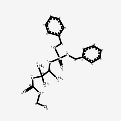 CC(OP(=O)(OCc1ccccc1)OCc1ccccc1)C(C)(C)OC(=O)OCCl